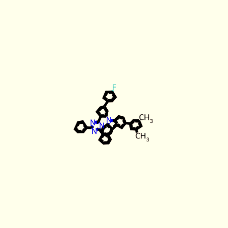 Cc1cc(C)cc(-c2ccc3c(c2)c2ccccc2n3-c2cc(-c3ccc(F)cc3)ccc2-c2nc(-c3ccccc3)nc(-c3ccccc3)n2)c1